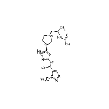 CC(C[C@@H]1CC[C@H](c2cc(NC(=O)c3cnnn3C)n[nH]2)C1)NC(=O)O